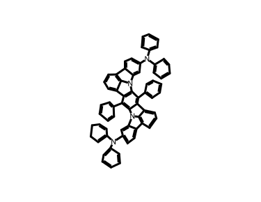 C1=CC(N(c2ccccc2)c2ccc3c4cccc5c6c(-c7ccccc7)c7c(c(-c8ccccc8)c6n(c3c2)c45)c2cccc3c4ccc(N(c5ccccc5)c5ccccc5)cc4n7c32)=CCC1